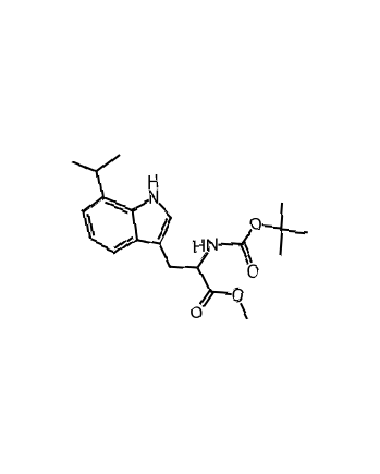 COC(=O)C(Cc1c[nH]c2c(C(C)C)cccc12)NC(=O)OC(C)(C)C